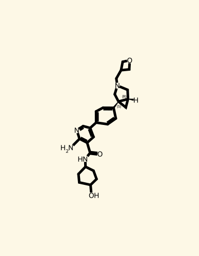 Nc1ncc(-c2ccc([C@]34C[C@H]3CN(CC3COC3)C4)cc2)cc1C(=O)NC1CCC(O)CC1